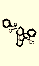 CCOC(C1CCCN1)C1(c2ccccc2)[CH]CN(S(=O)(=O)c2ccccc2)CC1